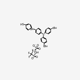 CC(C)(C)c1ccc([S+](c2ccc(C(C)(C)C)cc2)c2ccc(C(C)(C)C)cc2)cc1.O=S(=O)(O)C(F)(F)F.O=S(=O)([O-])C(F)(F)F.Sc1ccccc1